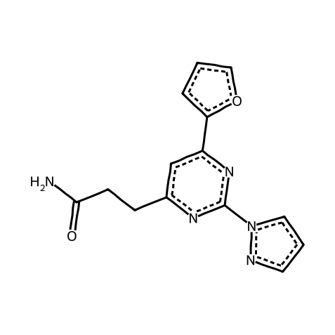 NC(=O)CCc1cc(-c2ccco2)nc(-n2cccn2)n1